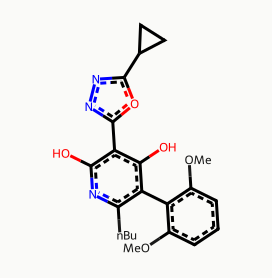 CCCCc1nc(O)c(-c2nnc(C3CC3)o2)c(O)c1-c1c(OC)cccc1OC